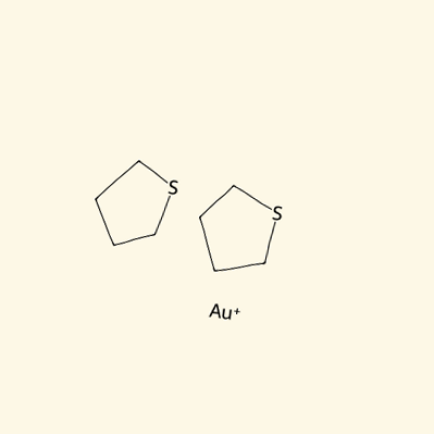 C1CCSC1.C1CCSC1.[Au+]